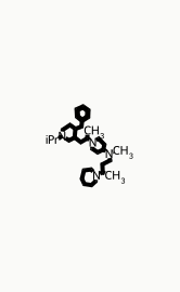 CC(C)N1CCC(Cc2ccccc2)C(CC(C)N2CCC(N(C)CCC(C)N3CCCCCC3)CC2)C1